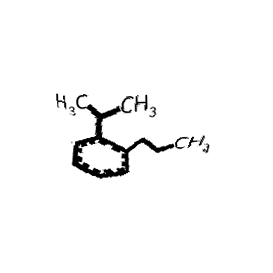 CCCc1ccc[c]c1C(C)C